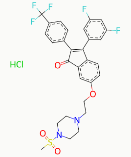 CS(=O)(=O)N1CCN(CCOc2ccc3c(c2)C(=O)C(c2ccc(C(F)(F)F)cc2)=C3c2cc(F)cc(F)c2)CC1.Cl